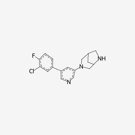 Fc1ccc(-c2cncc(N3CC4CNC(C4)C3)c2)cc1Cl